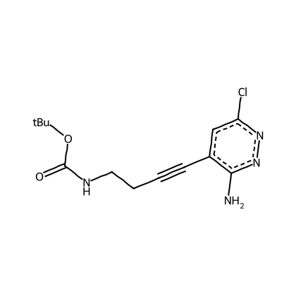 CC(C)(C)OC(=O)NCCC#Cc1cc(Cl)nnc1N